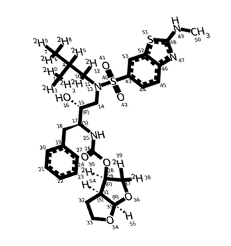 [2H]C([2H])([2H])C([2H])(C([2H])([2H])[2H])C([2H])([2H])N(C[C@@H](O)[C@H](Cc1ccccc1)NC(=O)O[C@]1([2H])[C@@H]2CCO[C@@H]2OC1([2H])[2H])S(=O)(=O)c1ccc2nc(NC)sc2c1